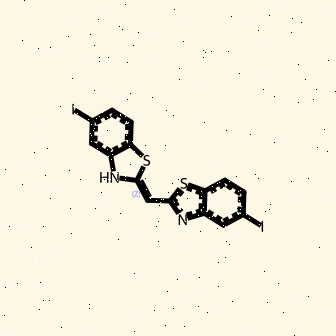 Ic1ccc2c(c1)N/C(=C/c1nc3cc(I)ccc3s1)S2